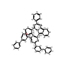 c1ccc(-c2cccc(-c3nc(-c4cccc(-c5ccccc5)c4)nc(-c4c5ccccc5c5nc(-c6ccccc6)nc(-c6ccccc6)n45)n3)c2)cc1